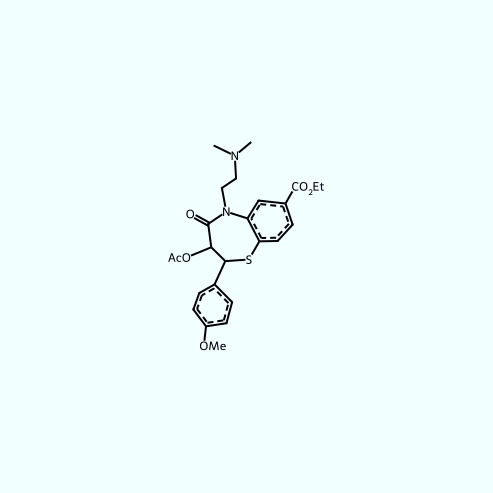 CCOC(=O)c1ccc2c(c1)N(CCN(C)C)C(=O)C(OC(C)=O)C(c1ccc(OC)cc1)S2